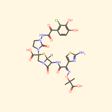 CC(C)(O/N=C(\C(=O)NC1C(=O)N2C[C@@](C(=O)O)(N3CCN(NC(=O)C(=O)c4ccc(O)c(O)c4Cl)C3=O)S[C@H]12)c1csc(N)n1)C(=O)O